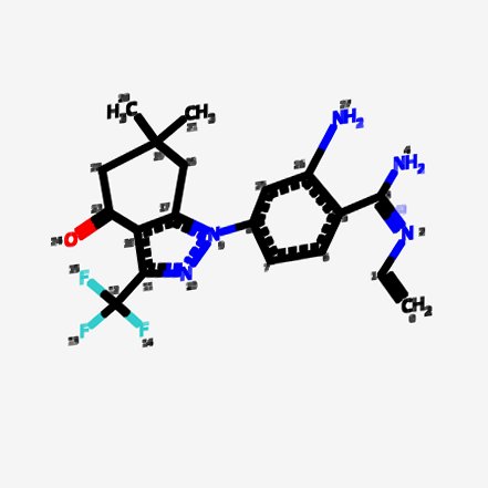 C=C/N=C(/N)c1ccc(-n2nc(C(F)(F)F)c3c2CC(C)(C)CC3=O)cc1N